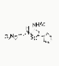 CC(=O)N[C@H](CC(=O)c1ccccc1)C(=S)NCCO[N+](=O)[O-]